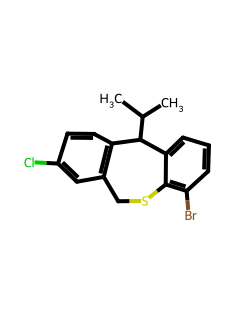 CC(C)C1c2ccc(Cl)cc2CSc2c(Br)cccc21